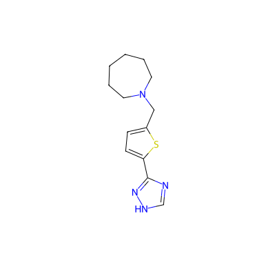 c1nc(-c2ccc(CN3CCCCCC3)s2)n[nH]1